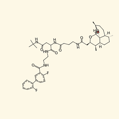 C[C@H]1[C@@H](CC(=O)NCCCC(=O)NC(CC(=O)NC(C)(C)C)C(=O)NCCNC(=O)c2cc(-c3ccccc3F)ccc2F)O[C@@H]2O[C@@]3(C)CC[C@H]4[C@H](C)CC[C@@H]1[C@@]24OO3